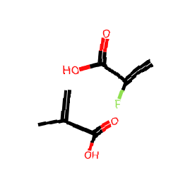 C=C(C)C(=O)O.C=C(F)C(=O)O